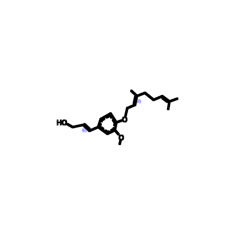 COc1cc(/C=C/CO)ccc1OC/C=C(\C)CCC=C(C)C